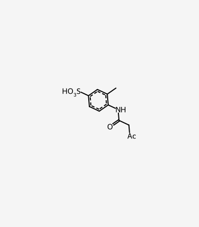 CC(=O)CC(=O)Nc1ccc(S(=O)(=O)O)cc1C